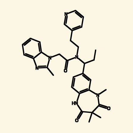 CCC(c1ccc2c(c1)N(C)C(=O)C(C)(C)C(=O)N2)N(CCc1cccnc1)C(=O)Cn1c(C)nc2ccccc21